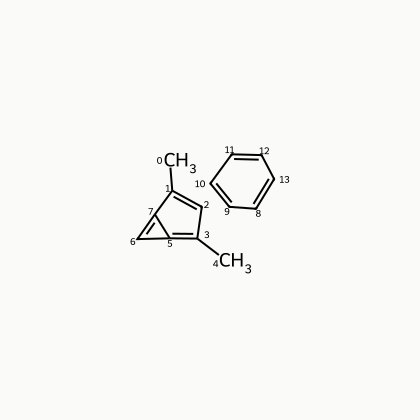 Cc1cc(C)c2cc1-2.c1ccccc1